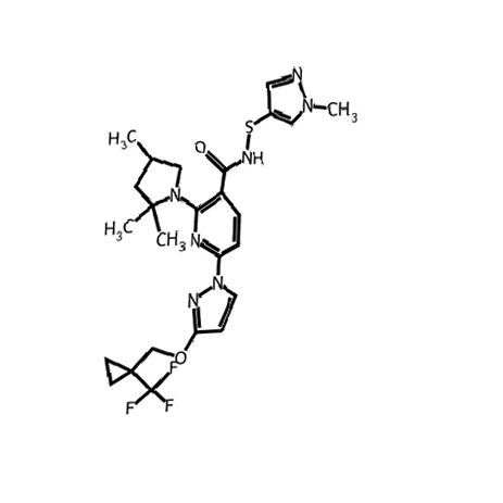 CC1CN(c2nc(-n3ccc(OCC4(C(F)(F)F)CC4)n3)ccc2C(=O)NSc2cnn(C)c2)C(C)(C)C1